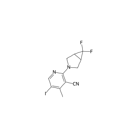 Cc1c(I)cnc(N2CC3C(C2)C3(F)F)c1C#N